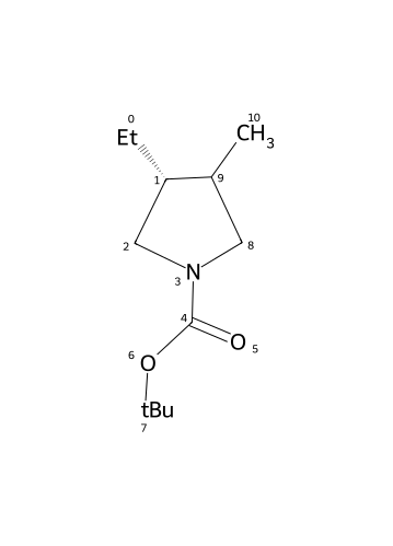 CC[C@H]1CN(C(=O)OC(C)(C)C)CC1C